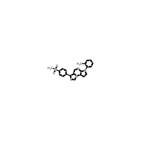 Cc1ccccc1-n1ccc2c1ncc1c(-c3ccc(S(C)(=O)=O)cc3)ncn12